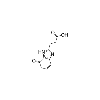 O=C(O)CCc1nc2c([nH]1)C(=O)CC=C2